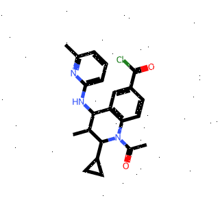 CC(=O)N1c2ccc(C(=O)Cl)cc2C(Nc2cccc(C)n2)C(C)C1C1CC1